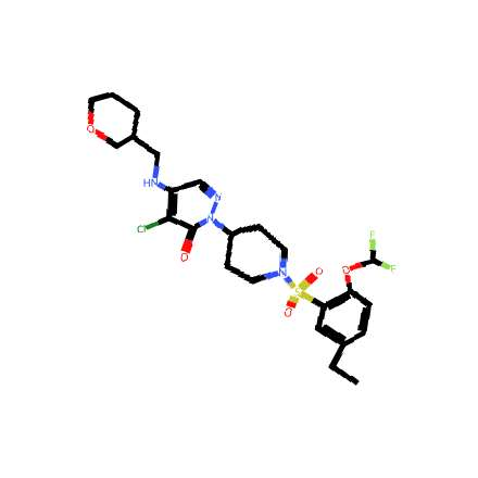 CCc1ccc(OC(F)F)c(S(=O)(=O)N2CCC(n3ncc(NCC4CCCOC4)c(Cl)c3=O)CC2)c1